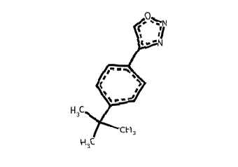 CC(C)(C)c1ccc(-c2conn2)cc1